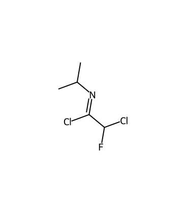 CC(C)N=C(Cl)C(F)Cl